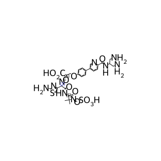 CC1(C)[C@H](NC(=O)/C(=N\O[C@@H](COc2ccc(-c3ccc(C(=O)NC(CN)CN)nc3)cc2)C(=O)O)c2csc(N)n2)C(=O)N1OS(=O)(=O)O